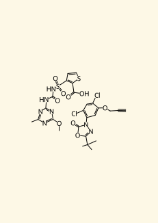 C#CCOc1cc(-n2nc(C(C)(C)C)oc2=O)c(Cl)cc1Cl.COc1nc(C)nc(NC(=O)NS(=O)(=O)c2ccsc2C(=O)O)n1